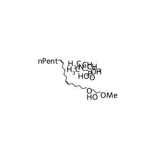 CC(C[N+](C)(C)C)P(=O)(O)O.CCCCC/C=C\CCCC/C=C\CCCCCOC[C@@H](O)COC